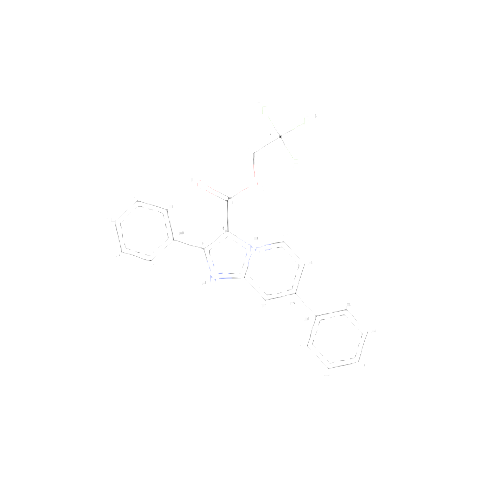 O=C(OCC(F)(F)F)c1c(-c2ccccc2)nc2cc(-c3ccccc3)ccn12